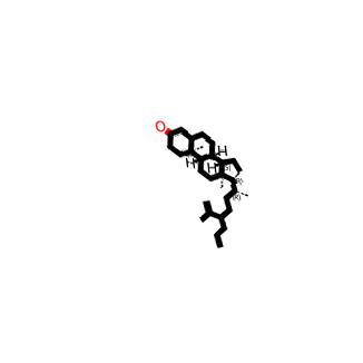 C=CCC(CC[C@@H](C)[C@H]1CC[C@H]2[C@@H]3CCC4CC(=O)CC[C@]4(C)[C@H]3CC[C@]12C)C(=C)C